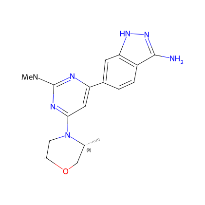 CNc1nc(-c2ccc3c(N)n[nH]c3c2)cc(N2C[CH]OC[C@H]2C)n1